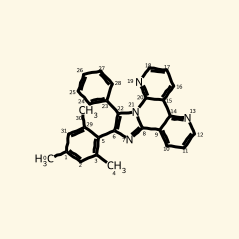 Cc1cc(C)c(-c2nc3c4cccnc4c4cccnc4n3c2-c2ccccc2)c(C)c1